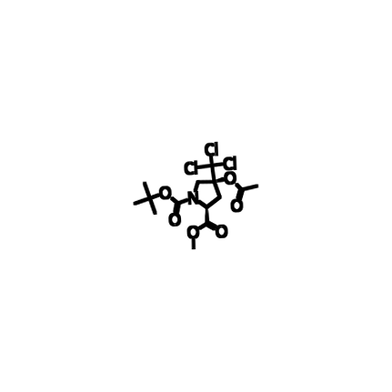 COC(=O)[C@@H]1C[C@@](OC(C)=O)(C(Cl)(Cl)Cl)CN1C(=O)OC(C)(C)C